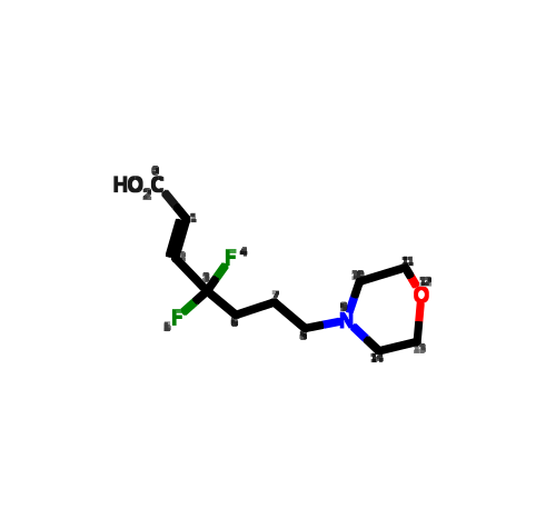 O=C(O)C=CC(F)(F)CCCN1CCOCC1